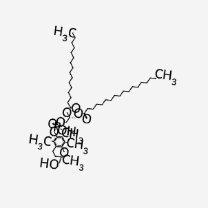 CCCCCCCCCCCCCCCCCC(=O)OC[C@H](COP(=O)(O)Oc1c(C)c(C)c2c(c1C)CCC(C)(CO)O2)OC(=O)CCCCCCCCCCCCCCC